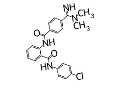 CN(C)C(=N)c1ccc(C(=O)Nc2ccccc2C(=O)Nc2ccc(Cl)cc2)cc1